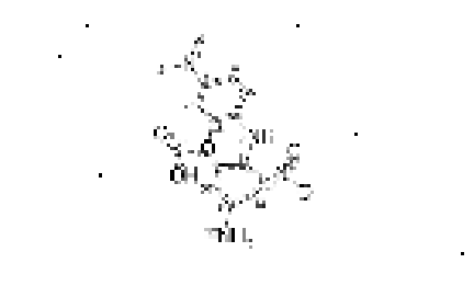 CN(C)c1ccc(Nc2ccc(N)cc2[N+](=O)[O-])c(OC(=O)O)c1